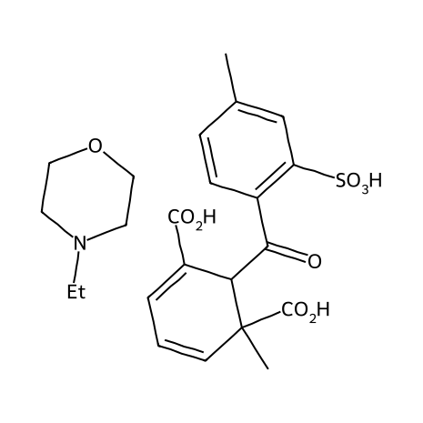 CCN1CCOCC1.Cc1ccc(C(=O)C2C(C(=O)O)=CC=CC2(C)C(=O)O)c(S(=O)(=O)O)c1